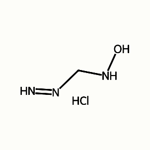 Cl.N=NCNO